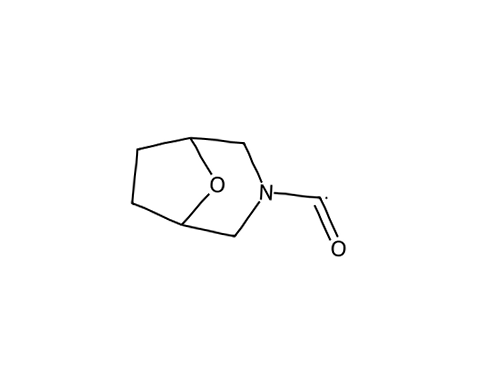 O=[C]N1CC2CCC(C1)O2